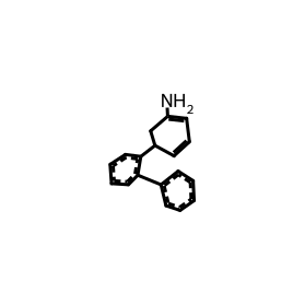 NC1=CC=CC(c2ccccc2-c2ccccc2)C1